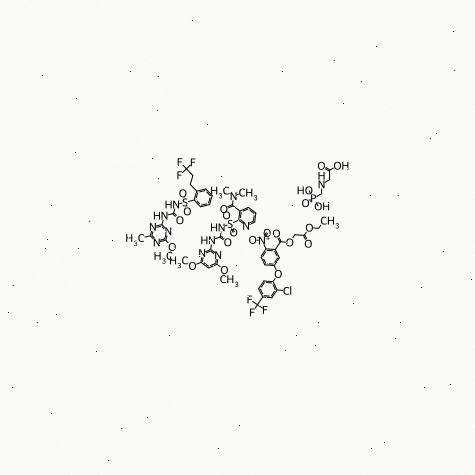 CCOC(=O)COC(=O)c1cc(Oc2ccc(C(F)(F)F)cc2Cl)ccc1[N+](=O)[O-].COc1cc(OC)nc(NC(=O)NS(=O)(=O)c2ncccc2C(=O)N(C)C)n1.COc1nc(C)nc(NC(=O)NS(=O)(=O)c2ccccc2CCC(F)(F)F)n1.O=C(O)CNCP(=O)(O)O